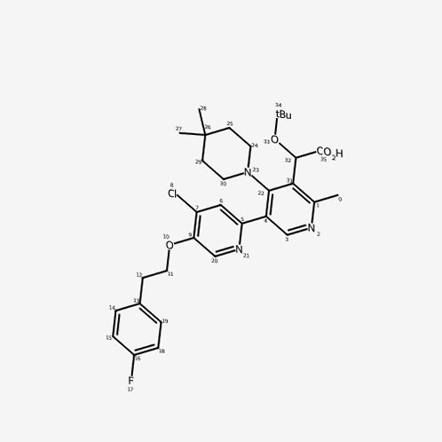 Cc1ncc(-c2cc(Cl)c(OCCc3ccc(F)cc3)cn2)c(N2CCC(C)(C)CC2)c1C(OC(C)(C)C)C(=O)O